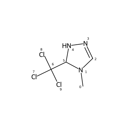 CN1C=NNC1C(Cl)(Cl)Cl